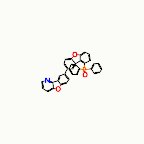 O=P(c1ccccc1)(c1ccccc1)c1cccc2oc3ccc(-c4ccc5oc6cccnc6c5c4)cc3c12